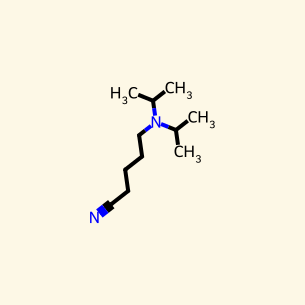 CC(C)N(CCCCC#N)C(C)C